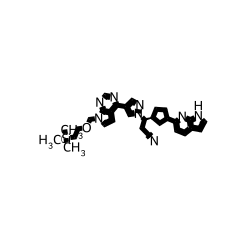 C[Si](C)(C)CCOCn1ccc2c(-c3cnn(C(CC#N)[C@H]4CCC(c5ccc6cc[nH]c6n5)C4)c3)ncnc21